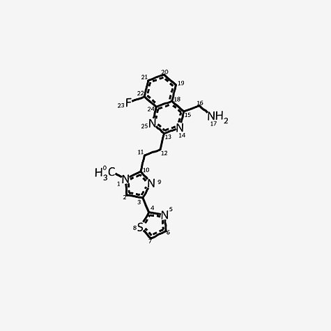 Cn1cc(-c2nccs2)nc1CCc1nc(CN)c2cccc(F)c2n1